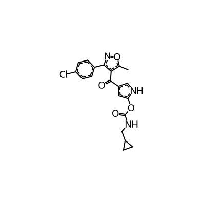 Cc1onc(-c2ccc(Cl)cc2)c1C(=O)c1c[nH]c(OC(=O)NCC2CC2)c1